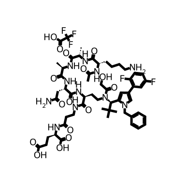 CC(=O)N[C@@H](CCCCN)C(=O)N[C@@H](C)C(=O)N[C@H](C)C(=O)N[C@@H](CC(N)=O)C(=O)N[C@@H](CCN(C(=O)CO)[C@@H](c1cc(-c2cc(F)ccc2F)cn1Cc1ccccc1)C(C)(C)C)C(=O)NCCC(=O)N[C@H](CCC(=O)O)C(=O)O.O=C(O)C(F)(F)F